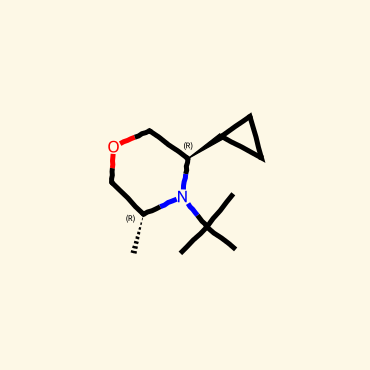 C[C@@H]1COC[C@@H](C2CC2)N1C(C)(C)C